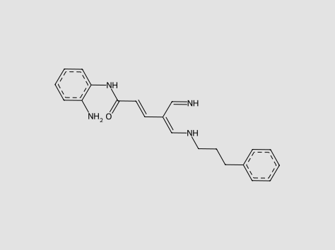 N=CC(=C\NCCCc1ccccc1)/C=C/C(=O)Nc1ccccc1N